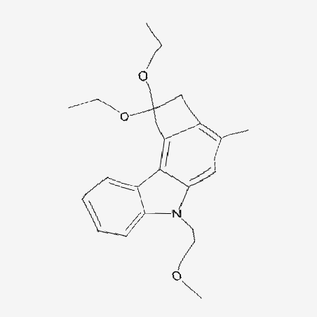 CCOC1(OCC)Cc2c(C)cc3c(c21)c1ccccc1n3COC